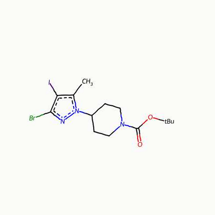 Cc1c(I)c(Br)nn1C1CCN(C(=O)OC(C)(C)C)CC1